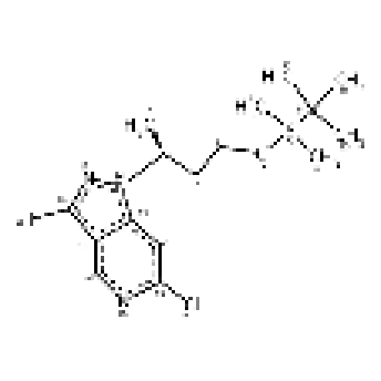 C[C@@H](CCO[Si](C)(C)C(C)(C)C)n1nc(I)c2cnc(Cl)cc21